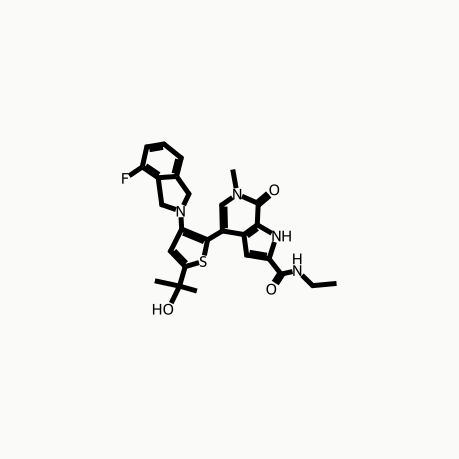 CCNC(=O)c1cc2c(-c3sc(C(C)(C)O)cc3N3Cc4cccc(F)c4C3)cn(C)c(=O)c2[nH]1